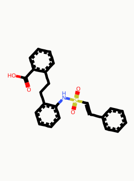 O=C(O)c1ccccc1CCc1ccccc1NS(=O)(=O)C=Cc1ccccc1